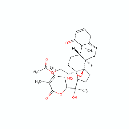 CC(=O)OCC[C@]12CC[C@H]3[C@@H](CC=C4CC=CC(=O)[C@@]43C)[C@]1(O)CC[C@@]2(O)C(C)(O)[C@H]1CC(C)=C(C)C(=O)O1